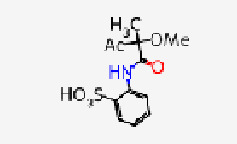 COC(C)(C(C)=O)C(=O)Nc1ccccc1S(=O)(=O)O